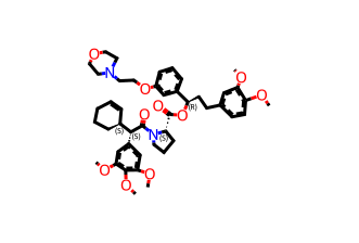 COc1ccc(CC[C@@H](OC(=O)[C@@H]2CCCN2C(=O)[C@H](c2cc(OC)c(OC)c(OC)c2)[C@@H]2C=CCCC2)c2cccc(OCCN3CCOCC3)c2)cc1OC